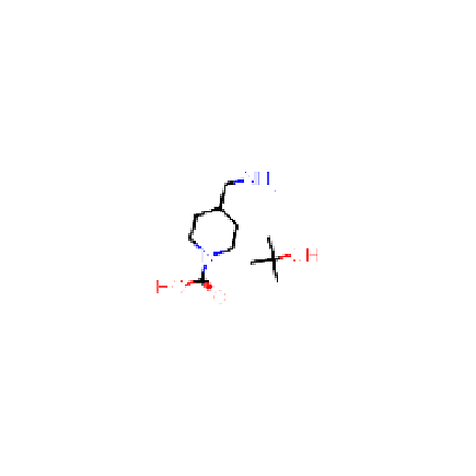 CC(C)(C)O.NCC1CCN(C(=O)O)CC1